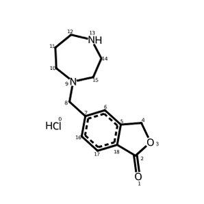 Cl.O=C1OCc2cc(CN3CCCNCC3)ccc21